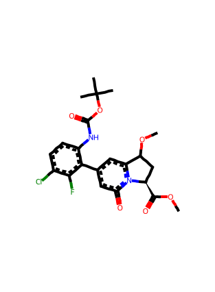 COC(=O)[C@@H]1CC(OC)c2cc(-c3c(NC(=O)OC(C)(C)C)ccc(Cl)c3F)cc(=O)n21